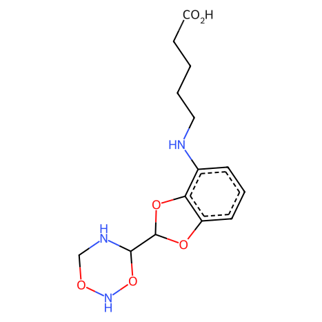 O=C(O)CCCCNc1cccc2c1OC(C1NCONO1)O2